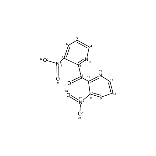 O=C(c1ncccc1[N+](=O)[O-])c1ncccc1[N+](=O)[O-]